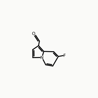 O=Cc1ccn2ccc(F)cc12